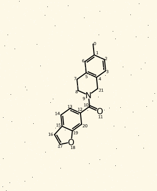 Cc1ccc2c(c1)CCN(C(=O)c1ccc3ccoc3c1)C2